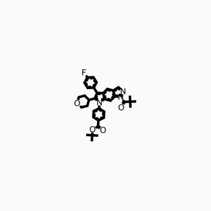 CC(C)(C)OC(=O)c1ccc(-n2c(C3CCOCC3)c(-c3ccc(F)cc3)c3cc4cnn(C(=O)C(C)(C)C)c4cc32)cc1